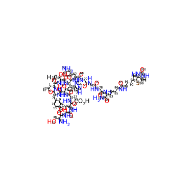 CC(C)C[C@H](NC(=O)[C@H](Cc1ccc(O)cc1)NC(=O)[C@@H](NC(=O)[C@H](CC(=O)O)NC(=O)[C@@H](NC(=O)CNC(=O)[C@@H](N)CO)C(C)C)[C@@H](C)O)C(=O)N[C@H](C(=O)N[C@@H](Cc1c[nH]cn1)C(=O)N[C@@H](CCCCN)C(=O)NCC(=O)NCC(=O)NCC(=O)N[C@@H](CCCCNC(=O)CCCC[C@@H]1SC[C@@H]2NC(=O)N[C@@H]21)C(N)=O)[C@@H](C)O